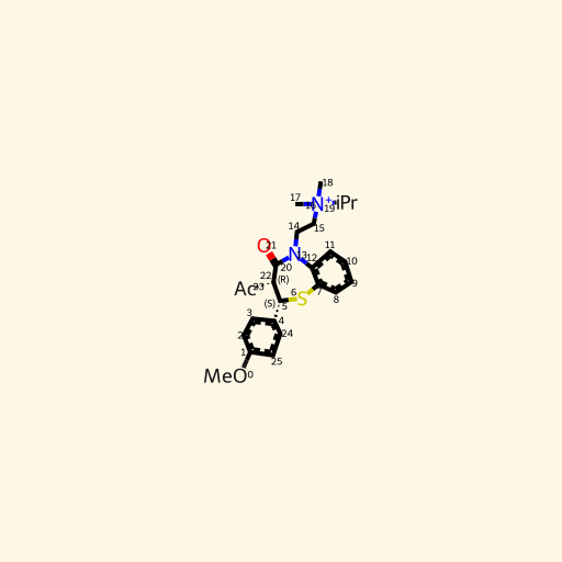 COc1ccc([C@H]2Sc3ccccc3N(CC[N+](C)(C)C(C)C)C(=O)[C@H]2C(C)=O)cc1